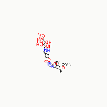 CCOc1cc(C(=O)OC)c(C2CC2)cc1CN1CCN(C(=O)Oc2ccc(CNC[C@H](O)[C@@H](O)[C@H](O)[C@H](O)CO)cc2)CC1